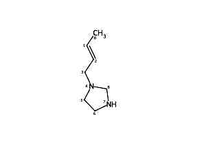 CC=CCN1CCNC1